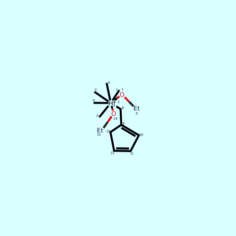 CC[O][Hf]([CH3])([CH3])([CH3])([CH3])([CH3])([CH2]C1=CC=CC1)[O]CC